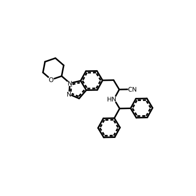 N#CC(Cc1ccc2c(cnn2C2CCCCO2)c1)NC(c1ccccc1)c1ccccc1